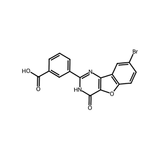 O=C(O)c1cccc(-c2nc3c(oc4ccc(Br)cc43)c(=O)[nH]2)c1